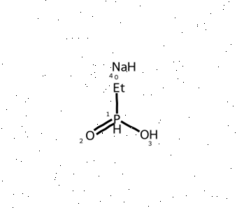 CC[PH](=O)O.[NaH]